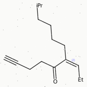 C#CCCC(=O)/C(=C\CC)CCCCC(C)C